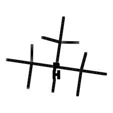 CC(C)(C)[PH](C)(C(C)(C)C)C(C)(C)C